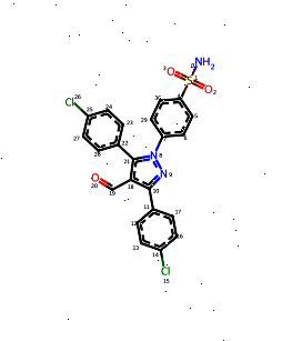 NS(=O)(=O)c1ccc(-n2nc(-c3ccc(Cl)cc3)c(C=O)c2-c2ccc(Cl)cc2)cc1